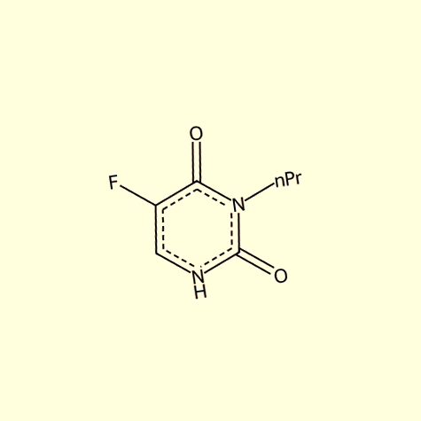 CCCn1c(=O)[nH]cc(F)c1=O